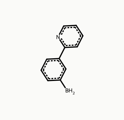 Bc1cccc(-c2ccccn2)c1